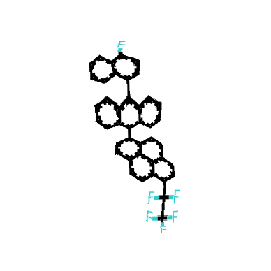 Fc1ccc(-c2c3ccccc3c(-c3ccc4ccc5c(C(F)(F)C(F)(F)F)ccc6ccc3c4c65)c3ccccc23)c2ccccc12